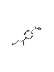 CCOc1ccc(NCC(C)C)cc1